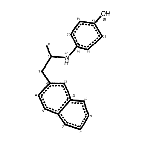 CC(Cc1ccc2ccccc2c1)Nc1ccc(O)cc1